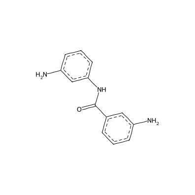 Nc1cccc(NC(=O)c2cccc(N)c2)c1